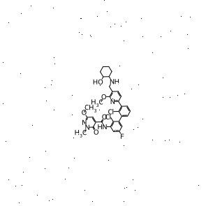 COc1cc(C(=O)Nc2cc(F)cc(-c3cccc(-c4ccc(CNC5CCCCC5O)c(OC)n4)c3Cl)c2Cl)c(=O)n(C)n1